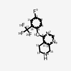 Fc1ccc(Oc2ncnc3c2CCNC3)c(C(F)(F)F)c1